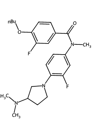 CCCCOc1ccc(C(=O)N(C)c2ccc(N3CCC(N(C)C)C3)c(F)c2)cc1F